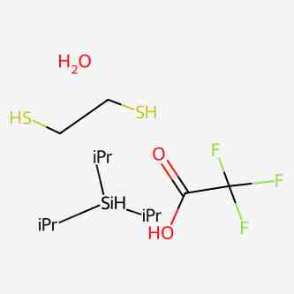 CC(C)[SiH](C(C)C)C(C)C.O.O=C(O)C(F)(F)F.SCCS